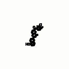 CCCN(CC1CCN(C(=O)c2ccc(F)c(Cl)n2)CC1)C1CCc2c(O)cccc2C1